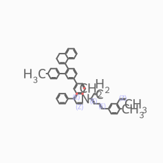 C=C/C=C(\C=C/N(/C(C=C)=C/C=C/c1ccc(C)c(/C=C\C)c1)c1ccc(-c2ccc(C3=CCCc4ccccc43)c(C3=CCC(C)C=C3)c2)cc1)c1ccccc1